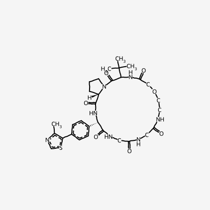 Cc1ncsc1-c1ccc([C@@H]2NC(=O)[C@@H]3CCCN3C(=O)C(C(C)(C)C)NC(=O)COCCNC(=O)CNC(=O)CNC2=O)cc1